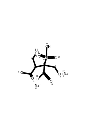 CCC(C(=O)[O-])C(CC)(C(=O)[O-])S(=O)(=O)O.[Na+].[Na+]